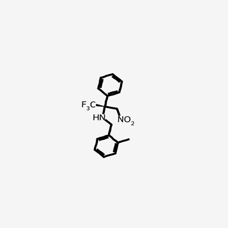 Cc1ccccc1CN[C@@](C[N+](=O)[O-])(c1ccccc1)C(F)(F)F